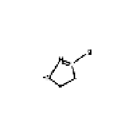 SS1=NNCC1